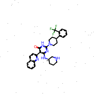 O=c1[nH]c(N2CCC(c3ccccc3C(F)(F)F)CC2)nc(N[C@@H]2CCCNC2)c1-c1ccc2ccccc2n1